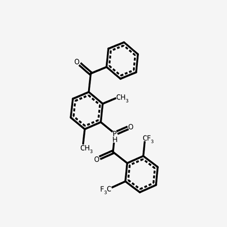 Cc1ccc(C(=O)c2ccccc2)c(C)c1[PH](=O)C(=O)c1c(C(F)(F)F)cccc1C(F)(F)F